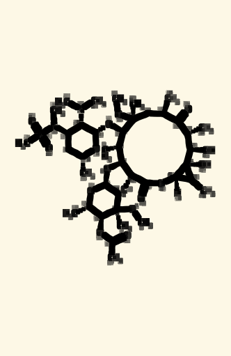 CO[C@]1(C)C[C@H](O[C@H]2[C@H](C)[C@@H](O[C@@H]3O[C@H](C)C[C@@H](N(C)S(C)(=O)=O)[C@@H]3N(C)C)[C@@](C)(OC)C[C@@H](C)C(=O)[C@H](C)[C@@H](O)[C@@]3(O)C(C)[C@H]3OC(=O)[C@@H]2C)O[C@@H](C)[C@@H]1OC(C)=O